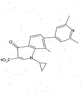 Cc1cc(-c2ccc3c(=O)c(C(=O)O)cn(C4CC4)c3c2C)cc(C)n1